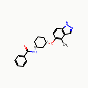 Cc1c(O[C@H]2CCC[C@@H](NC(=O)c3ccccc3)C2)ccc2[nH]ncc12